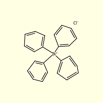 [Cl-].c1cc[c]([Bi+]([c]2ccccc2)([c]2ccccc2)[c]2ccccc2)cc1